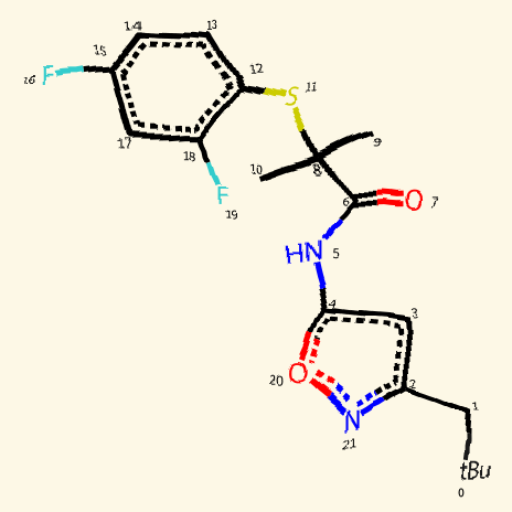 CC(C)(C)Cc1cc(NC(=O)C(C)(C)Sc2ccc(F)cc2F)on1